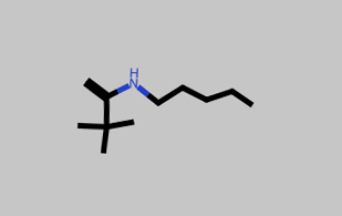 C=C(NCCCCC)C(C)(C)C